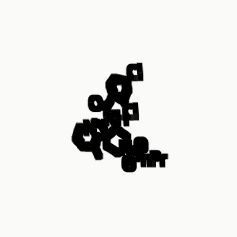 CCCS(=O)(=O)N1CCC(c2ncccc2C)(C(C)NC(=O)c2ccc(Cl)cc2Cl)CC1